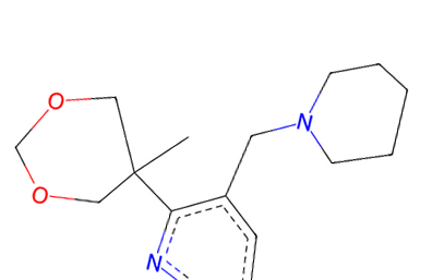 CC1(c2ncccc2CN2CCCCC2)COCOC1